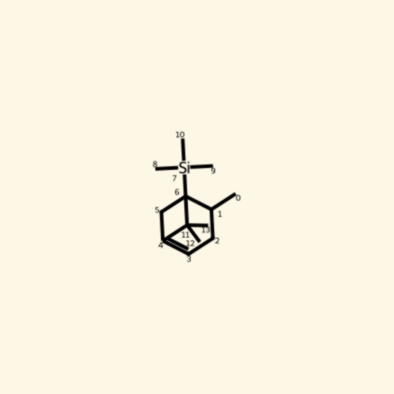 CC1CC=C2CC1([Si](C)(C)C)C2(C)C